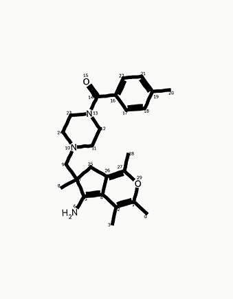 CC1=C(C)C2=C(N)C(C)(CN3CCN(C(=O)c4ccc(C)cc4)CC3)CC2=C(C)O1